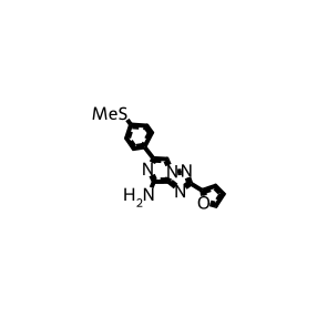 CSc1ccc(-c2cn3nc(-c4ccco4)nc3c(N)n2)cc1